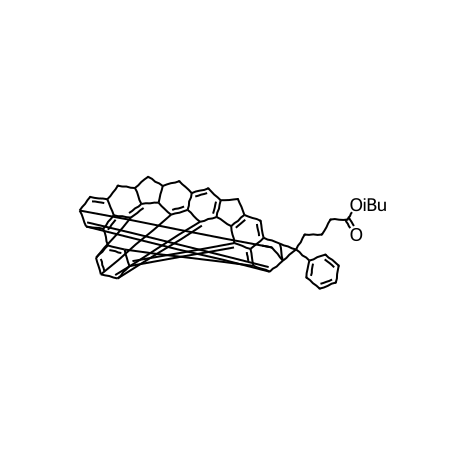 CC(C)COC(=O)CCCC1(c2ccccc2)C2c3cc4c5c6c(cc7c8c9c%10c%11c%12c%13c%14c%15c(c%16c3c5c(c%10c86)c%16c%14%11)C21CC%15C=C%13CC1CC(C7)C9C=%121)C4